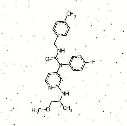 COC[C@H](C)Nc1nccc(N(C(=O)NCc2ccc(C)cc2)c2ccc(F)cc2)n1